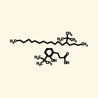 CC(C)(C)c1cccc(CCC(=O)O)c1O.CCCCCCCCCCCCCC(CCCC)C(C)(C)C